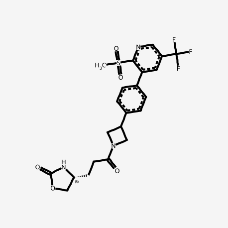 CS(=O)(=O)c1ncc(C(F)(F)F)cc1-c1ccc(C2CN(C(=O)CC[C@@H]3COC(=O)N3)C2)cc1